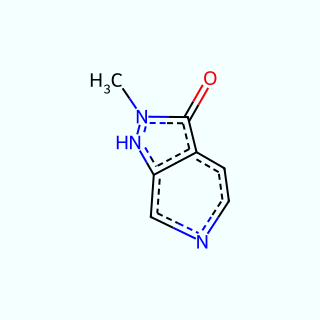 Cn1[nH]c2cnccc2c1=O